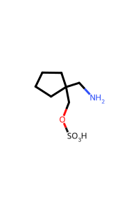 NCC1(COS(=O)(=O)O)CCCC1